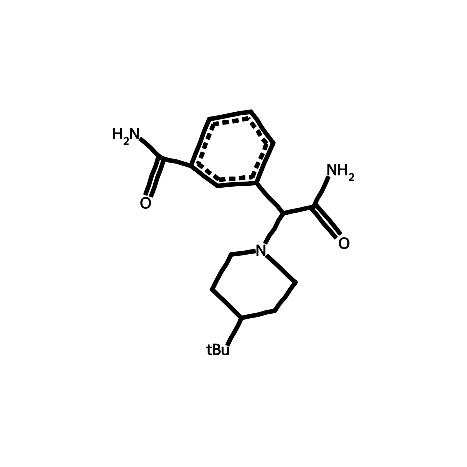 CC(C)(C)C1CCN(C(C(N)=O)c2cccc(C(N)=O)c2)CC1